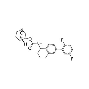 O=C(NC1CCCc2cc(-c3cc(F)ccc3F)ccc21)O[C@H]1CN2CCC1CC2